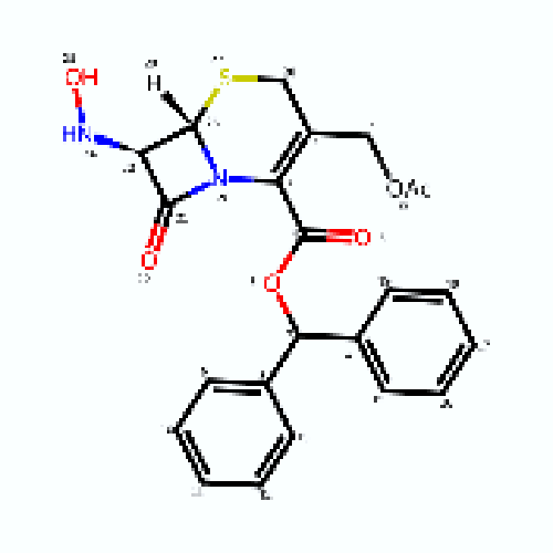 CC(=O)OCC1=C(C(=O)OC(c2ccccc2)c2ccccc2)N2C(=O)[C@@H](NO)[C@@H]2SC1